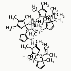 CC1=C[C](C)([Zr]([C]2=C(C)C=CC2)[SiH](C)C)C(C)=C1C.CC1=C[C](C)([Zr]([SiH](C)C)[C]2(C)C=CC(C)=C2C)C(C)=C1C.CC1=C[C](C)([Zr]([SiH](C)C)[C]2(C)C=CC=C2C)C(C)=C1C